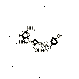 COc1ccc(OP(=O)(O)OC[C@H]2C[C@@H](N3CNc4c3nc(N)[nH]c4=O)[C@@H]2CO)cc1